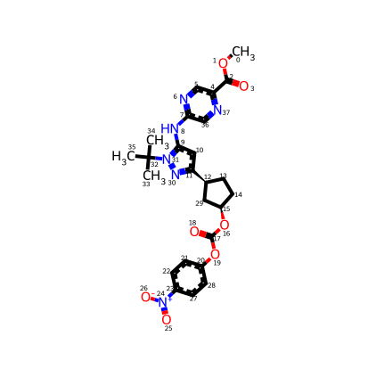 COC(=O)c1cnc(Nc2cc([C@H]3CC[C@@H](OC(=O)Oc4ccc([N+](=O)[O-])cc4)C3)nn2C(C)(C)C)cn1